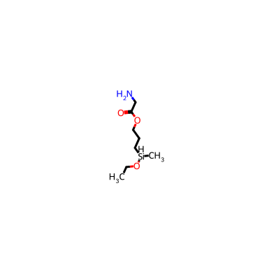 CCO[SiH](C)CCCOC(=O)CN